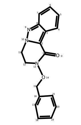 O=C1c2c3ccccc3nn2CCN1OCc1ccccc1